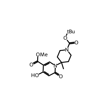 COC(=O)c1cn(C2(C)CCN(C(=O)OC(C)(C)C)CC2)c(=O)cc1O